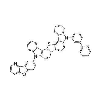 c1ccc(-c2cccc(-n3c4ccccc4c4c5sc6c(ccc7c6c6ccccc6n7-c6ccc7oc8cccnc8c7c6)c5ccc43)c2)nc1